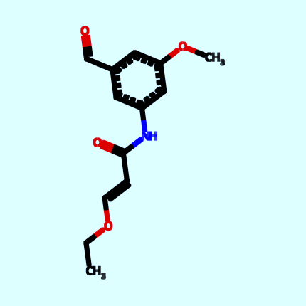 CCO/C=C/C(=O)Nc1cc(C=O)cc(OC)c1